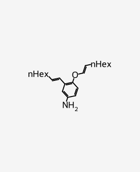 CCCCCCC=COc1ccc(N)cc1C=CCCCCCC